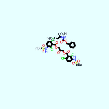 CCCCS(=O)(=O)Nc1ccc(Cl)c(C(=O)OCC(=O)COC(=O)c2c(Cl)ccc(NS(=O)(=O)CCCC)c2Cl)c1Cl.O=C(O)C[C@H](NC(=O)OCc1ccccc1)C(=O)O